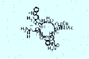 CCCC[C@H](NC(C)=O)C(=O)N[C@H]1CCC(=O)NCCC(C(=O)NC(Cc2c[nH]c3ccccc23)C(N)=O)NC(=O)[C@H](CCCNC(=N)N)NC(=O)[C@@H](Cc2ccccc2)NC(=O)[C@H](CCCNC(N)=O)NC1=O